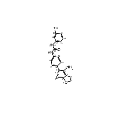 NC1=c2ccoc2=NCN1c1ccc(NC(=O)Nc2cccc(F)c2)cc1